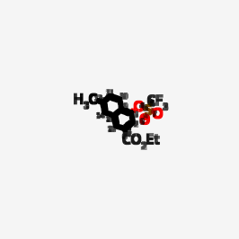 CCOC(=O)c1cc(OS(=O)(=O)C(F)(F)F)c2ccc(C)cc2c1